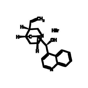 Br.C=C[C@H]1CN2CC[C@H]1C[C@H]2[C@H](O)c1ccnc2ccccc12